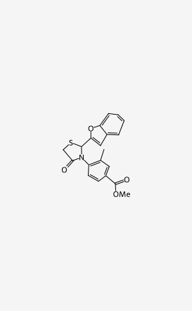 COC(=O)c1ccc(N2C(=O)CSC2c2cc3ccccc3o2)c(C)c1